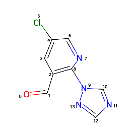 O=Cc1cc(Cl)cnc1-n1cncn1